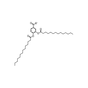 CCCCCCCCCCCCCC(=O)Oc1ccc([N+](=O)[O-])cc1OC(=O)CCCCCCCCCCCCC